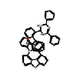 c1ccc(C2=NC(c3ccccc3)NC(c3cccc4oc5cc(-c6cccc7sc8cccc(-n9c%10ccccc%10c%10ccccc%109)c8c67)ccc5c34)N2)cc1